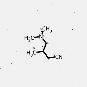 CC(CC#N)CN(C)C